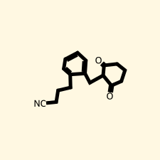 N#CCCCc1ccccc1CC1C(=O)CCCC1=O